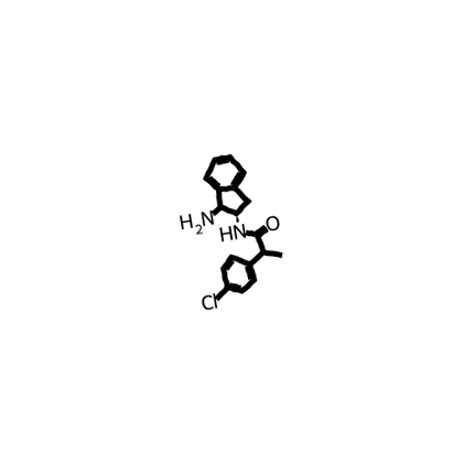 CC(C(=O)N[C@H]1Cc2ccccc2C1N)c1ccc(Cl)cc1